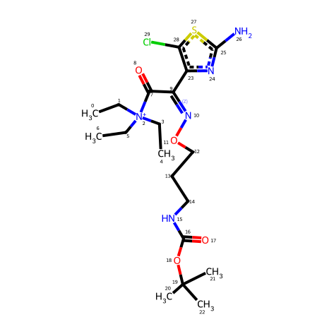 CC[N+](CC)(CC)C(=O)/C(=N\OCCCNC(=O)OC(C)(C)C)c1nc(N)sc1Cl